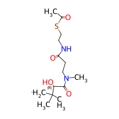 [CH2]C(C)(C)[C@@H](O)C(=O)N(C)CCC(=O)NCCSC(C)=O